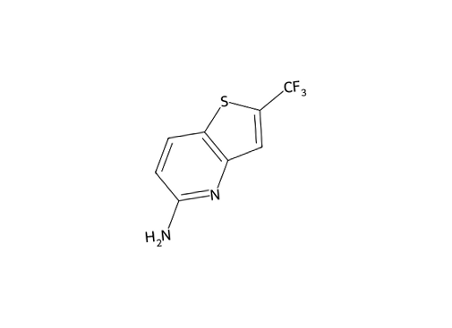 Nc1ccc2sc(C(F)(F)F)cc2n1